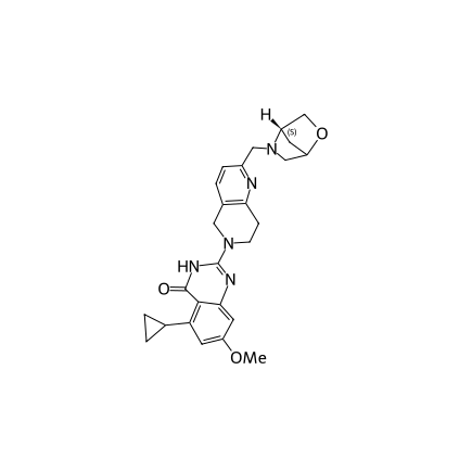 COc1cc(C2CC2)c2c(=O)[nH]c(N3CCc4nc(CN5CC6C[C@H]5CO6)ccc4C3)nc2c1